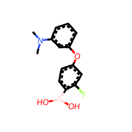 CN(C)c1cccc(Oc2ccc(B(O)O)c(F)c2)c1